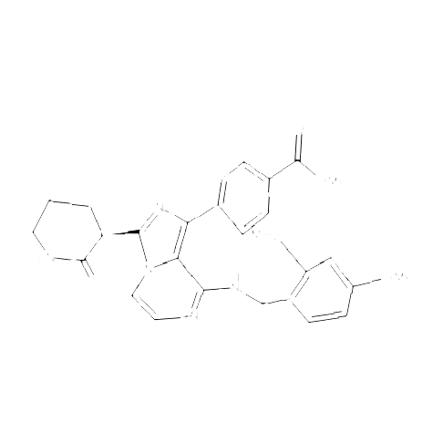 COC(=O)c1ccc(-c2nc([C@@H]3CCCNC3=S)n3ccnc(NCc4ccc(OC)cc4OC)c23)cc1